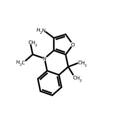 CC(C)N1c2ccccc2C(C)(C)c2occ(N)c21